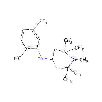 CN1C(C)(C)CC(Nc2cc(C(F)(F)F)ccc2C#N)CC1(C)C